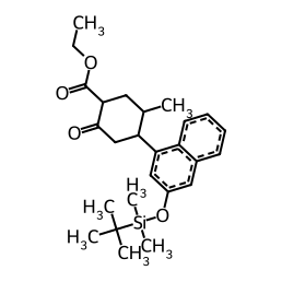 CCOC(=O)C1CC(C)C(c2cc(O[Si](C)(C)C(C)(C)C)cc3ccccc23)CC1=O